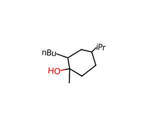 CCCCC1CC(C(C)C)CCC1(C)O